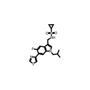 CC(C)Cn1cc(CNS(=O)(=O)C2CC2)c2cc(F)c(-c3cscn3)cc21